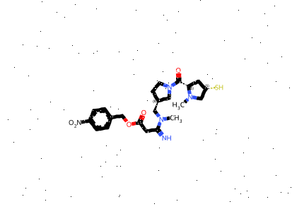 CN(C[C@H]1CCN(C(=O)[C@@H]2C[C@H](S)CN2C)C1)C(=N)CC(=O)OCc1ccc([N+](=O)[O-])cc1